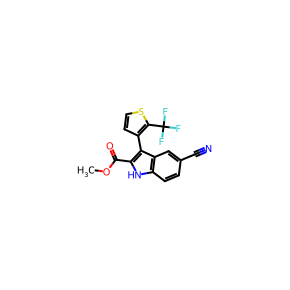 COC(=O)c1[nH]c2ccc(C#N)cc2c1-c1ccsc1C(F)(F)F